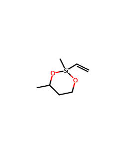 C=C[Si]1(C)OCCC(C)O1